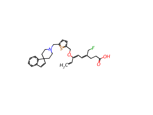 C=C/C(=C\C=C(/CF)CCC(=O)O)OCc1ccc(CN2CCC3(C=Cc4ccccc43)CC2)s1